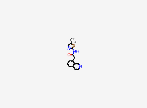 O=C(Cc1cccc2ccncc12)Nc1ncc(C(F)(F)F)s1